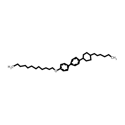 CCCCCCCCCCCCOc1ccc(-c2ccc(C3CCC(CCCCCC)CC3)cc2)cc1